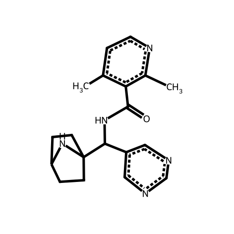 Cc1ccnc(C)c1C(=O)NC(c1cncnc1)C12CCC(CC1)N2